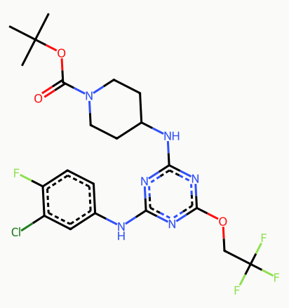 CC(C)(C)OC(=O)N1CCC(Nc2nc(Nc3ccc(F)c(Cl)c3)nc(OCC(F)(F)F)n2)CC1